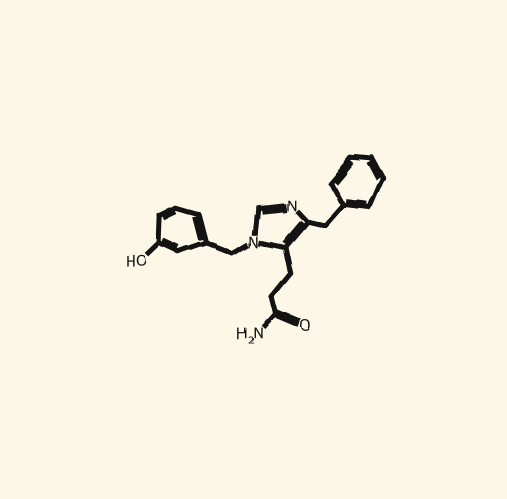 NC(=O)CCc1c(Cc2ccccc2)ncn1Cc1cccc(O)c1